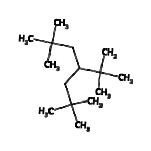 CC(C)(C)CC(CC(C)(C)C)C(C)(C)C